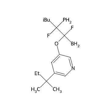 BC(F)(Oc1cncc(C(C)(C)CC)c1)C(F)(P)C(C)CC